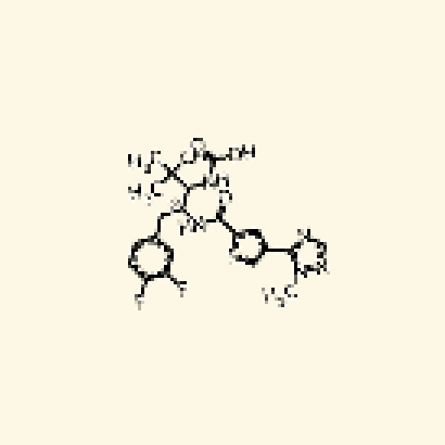 Cn1ncnc1-c1csc(C(=O)N[C@@H](Cc2ccc(F)c(F)c2)C(NC(=O)O)C(C)(C)C)c1